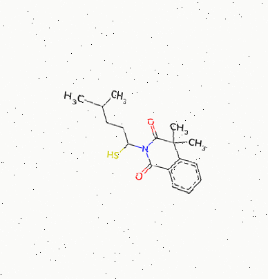 CC(C)CCC(S)N1C(=O)c2ccccc2C(C)(C)C1=O